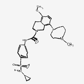 COc1ccc(N2CCN(C)CC2)c2c1CCN(C(=O)Nc1ccc(S(=O)(=O)NC3CC3)cc1)C2